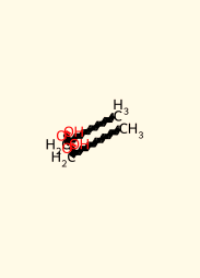 C=C(CCCCCCCCCCCCC)C(=O)O.C=C(CCCCCCCCCCCCC)C(=O)O